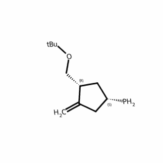 C=C1C[C@@H](P)C[C@H]1COC(C)(C)C